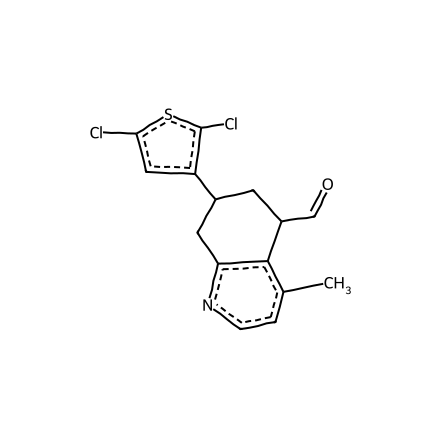 Cc1ccnc2c1C(C=O)CC(c1cc(Cl)sc1Cl)C2